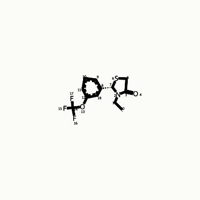 [CH2]CN1C(=O)CS[C@H]1c1cccc(OC(F)(F)F)c1